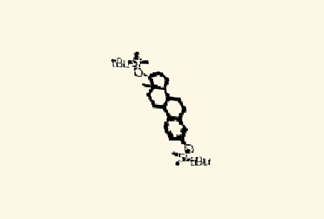 CC(C)(C)[Si](C)(C)Oc1ccc2c(c1)CCC1C2CC[C@@]2(C)C1CC[C@@H]2O[Si](C)(C)C(C)(C)C